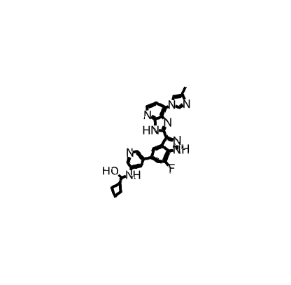 Cc1cn(-c2ccnc3[nH]c(-c4n[nH]c5c(F)cc(-c6cncc(NC(O)C7CCC7)c6)cc45)nc23)cn1